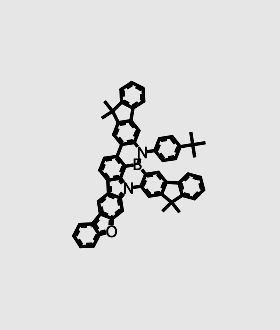 CC(C)(C)c1ccc(N2B3c4cc5c(cc4-n4c6cc7oc8ccccc8c7cc6c6ccc(c3c64)-c3cc4c(cc32)-c2ccccc2C4(C)C)C(C)(C)c2ccccc2-5)cc1